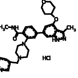 CNC(=O)c1ccc(-c2cc(OC3CCOCC3)c3c(C)n[nH]c3c2)cc1N1CCN(Cc2cccnc2)CC1.Cl